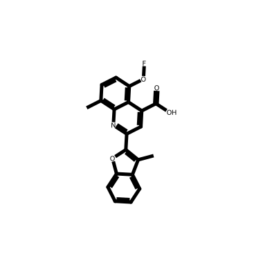 Cc1c(-c2cc(C(=O)O)c3c(OF)ccc(C)c3n2)oc2ccccc12